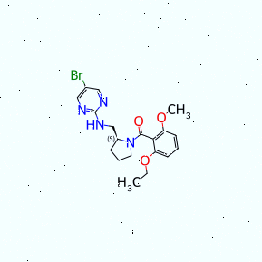 CCOc1cccc(OC)c1C(=O)N1CCC[C@H]1CNc1ncc(Br)cn1